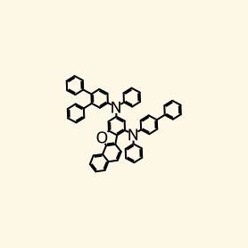 c1ccc(-c2ccc(N(c3ccccc3)c3cc(N(c4ccccc4)c4ccc(-c5ccccc5)c(-c5ccccc5)c4)cc4oc5c6ccccc6ccc5c34)cc2)cc1